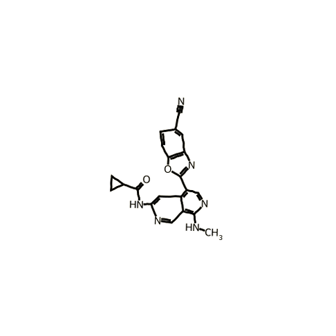 CNc1ncc(-c2nc3cc(C#N)ccc3o2)c2cc(NC(=O)C3CC3)ncc12